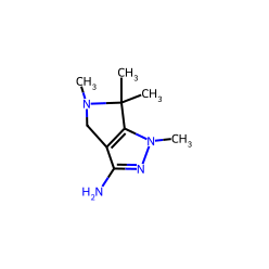 CN1Cc2c(N)nn(C)c2C1(C)C